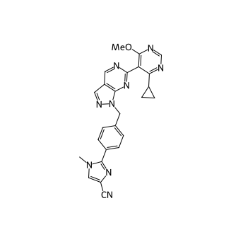 COc1ncnc(C2CC2)c1-c1ncc2cnn(Cc3ccc(-c4nc(C#N)cn4C)cc3)c2n1